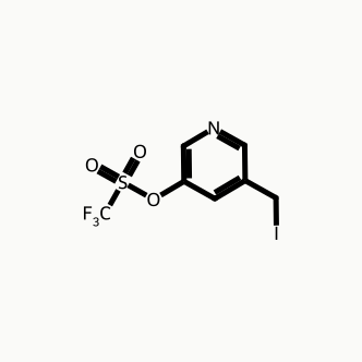 O=S(=O)(Oc1cncc(CI)c1)C(F)(F)F